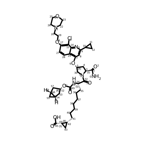 NC(=O)[C@@H]1C[C@@H](Oc2cc(C3CC3)nc3c(Cl)c(OCCN4CCOCC4)ccc23)CN1C(=O)[C@H](CCCCCCC[C@@H]1C[C@@H]1C(=O)O)NC(=O)O[C@@H]1C[C@@H]2C[C@@H]2C1